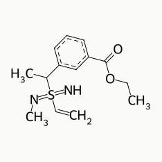 C=CS(=N)(=NC)C(C)c1cccc(C(=O)OCC)c1